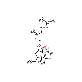 CCC1CC[C@]2(C(=O)OCCC(C)CCCC(C)C)[C@H]3CC[C@H](C3)[C@H]12